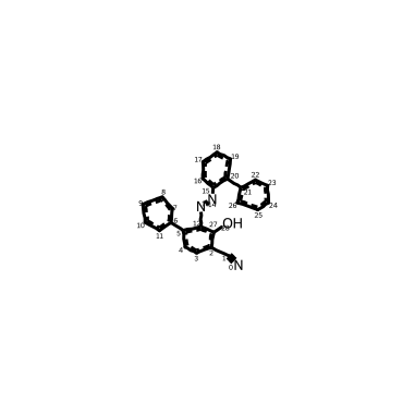 N#Cc1ccc(-c2ccccc2)c(N=Nc2ccccc2-c2ccccc2)c1O